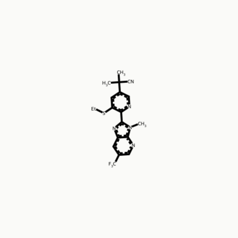 CCSc1cc(C(C)(C)C#N)cnc1-c1nc2cc(C(F)(F)F)cnc2n1C